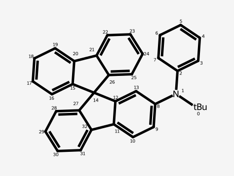 CC(C)(C)N(c1ccccc1)c1ccc2c(c1)C1(c3ccccc3-c3ccccc31)c1ccccc1-2